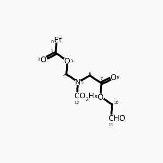 CCC(=O)OCN(CC(=O)OCC=O)C(=O)O